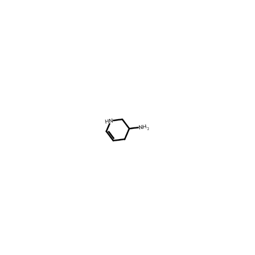 NC1CC=CNC1